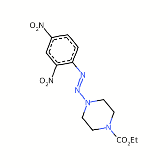 CCOC(=O)N1CCN(N=Nc2ccc([N+](=O)[O-])cc2[N+](=O)[O-])CC1